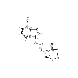 O[C@H]1CCCN[C@@H]1/C=C/Cn1ccc2c(Cl)ncnc21